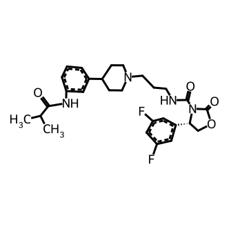 CC(C)C(=O)Nc1cccc(C2CCN(CCCNC(=O)N3C(=O)OC[C@@H]3c3cc(F)cc(F)c3)CC2)c1